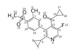 Cc1cc(-c2c(C3CC3)ncc(F)c2C(=O)C2CC2)ccc1S(C)(=O)=O